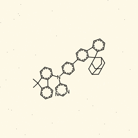 CC1(C)c2ccccc2-c2c(N(c3ccc(-c4ccc5c(c4)C4(c6ccccc6-5)C5CC6CC(C5)CC4C6)cc3)c3cncnc3)cccc21